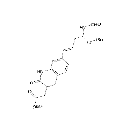 COC(=O)CC1Cc2ccc(C=CCC(NC=O)OC(C)(C)C)cc2NC1=O